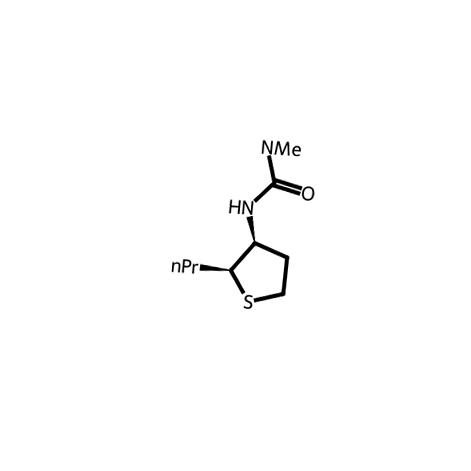 CCC[C@@H]1SCC[C@@H]1NC(=O)NC